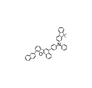 CC1(C)c2ccccc2-c2ccc(N(c3ccccc3)c3ccc(-c4cc5c6cccc(-c7ccc8ccccc8c7)c6oc5c5ccccc45)cc3)cc21